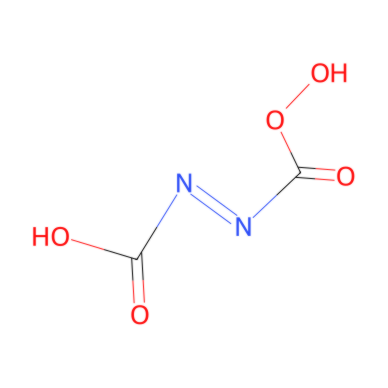 O=C(O)N=NC(=O)OO